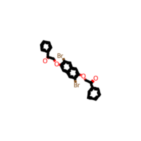 O=C(COc1cc2cc(Br)c(OCC(=O)c3ccccc3)cc2cc1Br)c1ccccc1